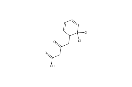 O=C(O)CC(=O)CC1C=CC=CC1(Cl)Cl